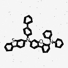 c1ccc(-c2ccc(N(c3ccc4c(c3)oc3c(N(c5ccccc5)c5ccccc5)cccc34)c3ccc4c(c3)sc3ccccc34)cc2)cc1